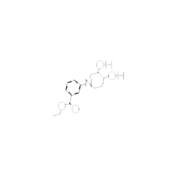 CCOC(=O)c1cccc(N2CCC(O)C(O)C2)c1